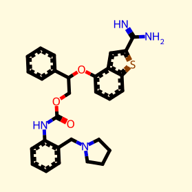 N=C(N)c1cc2c(OC(COC(=O)Nc3ccccc3CN3CCCC3)c3ccccc3)cccc2s1